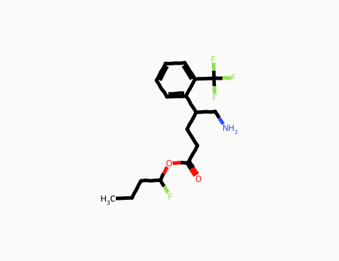 CCCC(F)OC(=O)CCC(CN)c1ccccc1C(F)(F)F